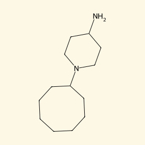 NC1CCN(C2CCCCCCC2)CC1